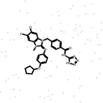 Cn1/c(=N\c2ccc(OC3CCCC3)cc2)n(Cc2ccc(C(=O)Nc3nnn[nH]3)cc2)c2cc(Cl)c(Cl)cc21